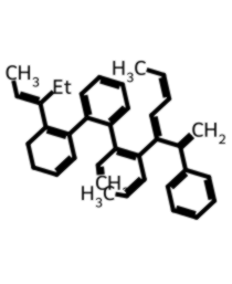 C=C/C(=C(\C=C/C)C(=C/C=C\C)/C(=C)c1ccccc1)c1ccccc1C1=C(/C(=C/C)CC)CCC=C1